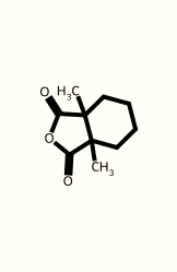 CC12CCCCC1(C)C(=O)OC2=O